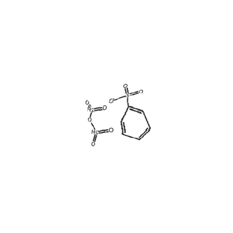 O=S(=O)(Cl)c1ccccc1.O=[SH](=O)O[SH](=O)=O